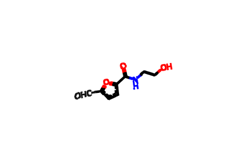 O=Cc1ccc(C(=O)NCCO)o1